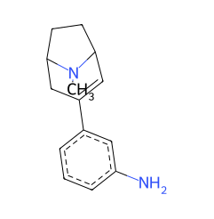 CN1C2C=C(c3cccc(N)c3)CC1CC2